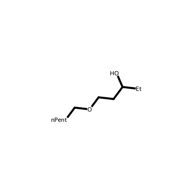 CCCCCCOCCC(O)CC